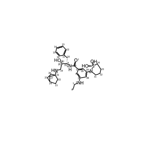 CCNc1cc(C(=O)N[C@@H](Cc2ccccc2)[C@H](O)CNC23CCC(CC2)C3)cc(N2CCCCS2(O)O)c1